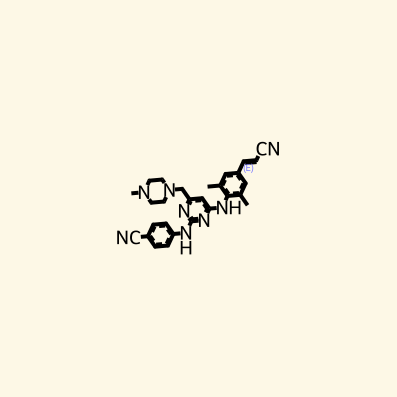 Cc1cc(/C=C/C#N)cc(C)c1Nc1cc(CN2CCN(C)CC2)nc(Nc2ccc(C#N)cc2)n1